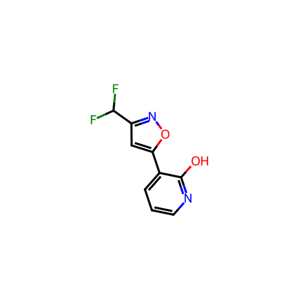 Oc1ncccc1-c1cc(C(F)F)no1